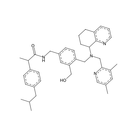 Cc1cnc(CN(Cc2ccc(CNC(=O)C(C)c3ccc(CC(C)C)cc3)cc2CO)C2CCCc3cccnc32)c(C)c1